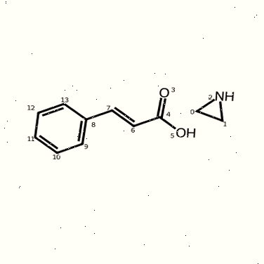 C1CN1.O=C(O)C=Cc1ccccc1